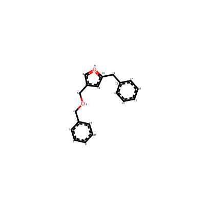 c1ccc(COCc2coc(Cc3ccccc3)c2)cc1